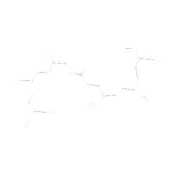 COC(C)COC(C)COC(C)COC(=O)OCC(C)OCC(C)OCC(C)O